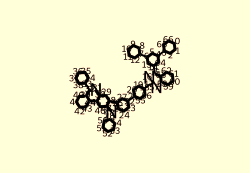 c1ccc(-c2cc(-c3ccccc3)cc(-c3nc(-c4ccc(-c5ccc6c(c5)c5cc7nc(-c8ccccc8)c8ccccc8c7cc5n6-c5ccccc5)cc4)nc4ccccc34)c2)cc1